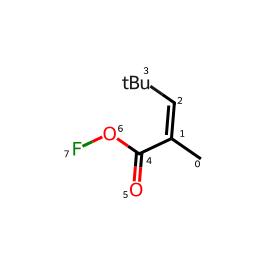 CC(=CC(C)(C)C)C(=O)OF